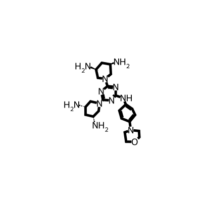 N[C@@H]1C[C@H](N)CN(c2nc(Nc3ccc(N4CCOCC4)cc3)nc(N3C[C@H](N)C[C@H](N)C3)n2)C1